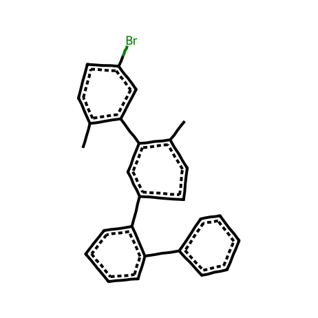 Cc1ccc(Br)cc1-c1cc(-c2ccccc2-c2ccccc2)ccc1C